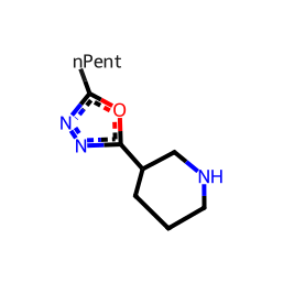 CCCCCc1nnc(C2CCCNC2)o1